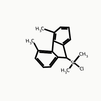 Cc1cccc2c1-c1c(C)cccc1C2[Si](C)(C)Cl